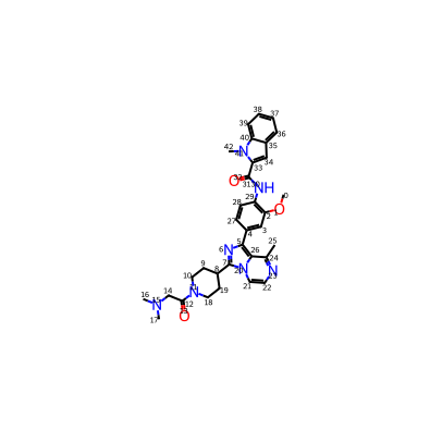 COc1cc(-c2nc(C3CCN(C(=O)CN(C)C)CC3)n3ccnc(C)c23)ccc1NC(=O)c1cc2ccccc2n1C